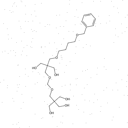 OCC(CO)(CO)COCOCC(CO)(CO)COCCCCOCc1ccccc1